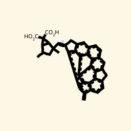 C=c1c2ccc3c4c5c(cc6ccc7cc8c9c(c1c(c24)c1c9c7c6c51)/C(=C\C1(C)CC(C)C2C1C2(C(=O)O)C(=O)O)C8)C3